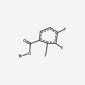 O=C(OBr)c1ccc(F)c(F)c1F